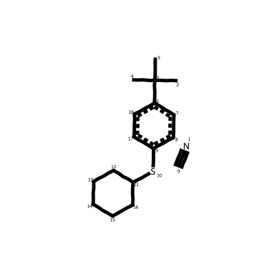 C#N.CC(C)(C)c1ccc(SC2CCCCC2)cc1